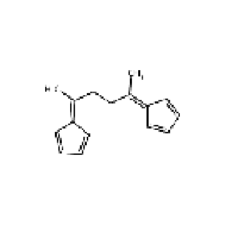 CC(CCC(C)=C1C=CC=C1)=C1C=CC=C1